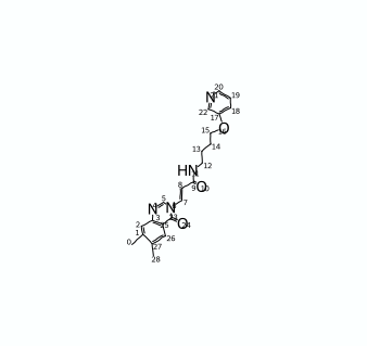 Cc1cc2ncn(/C=C/C(=O)NCCCCOc3cccnc3)c(=O)c2cc1C